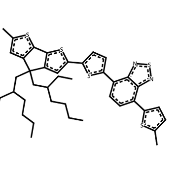 CCCCC(CC)CC1(CC(CC)CCCC)c2cc(C)sc2-c2sc(-c3ccc(-c4ccc(-c5ccc(C)s5)c5nsnc45)s3)cc21